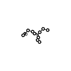 c1ccc(-c2cccc(-c3ccc(N(c4ccc5cc(-c6cccc(-c7cc8ccccc8o7)c6)ccc5c4)c4ccc5c(ccc6ccccc65)c4)cc3)c2)cc1